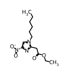 CCCCCCn1cc([N+](=O)[O-])nc1CC(=O)OCC